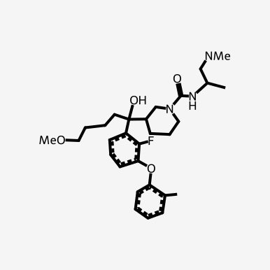 CNCC(C)NC(=O)N1CCCC(C(O)(CCCCOC)c2cccc(Oc3ccccc3C)c2F)C1